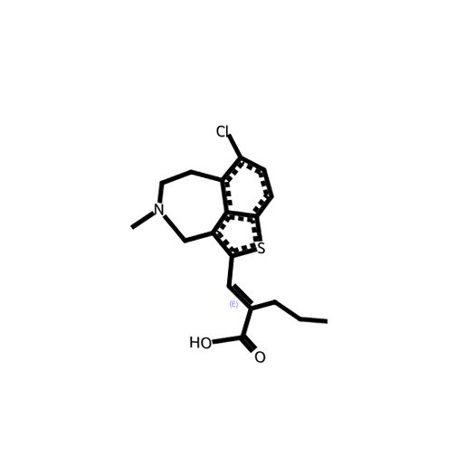 CCC/C(=C\c1sc2ccc(Cl)c3c2c1CN(C)CC3)C(=O)O